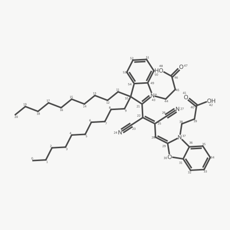 CCCCCCCCCCC1(CCCCCCCCCC)C(/C(C#N)=C(C#N)/C=C2/Oc3ccccc3N2CCC(=O)O)=[N+](CCC(=O)O)c2ccccc21